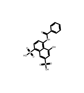 O=C(Nc1ccc(S(=O)(=O)O)c2cc(S(=O)(=O)O)cc(O)c12)c1ccccc1